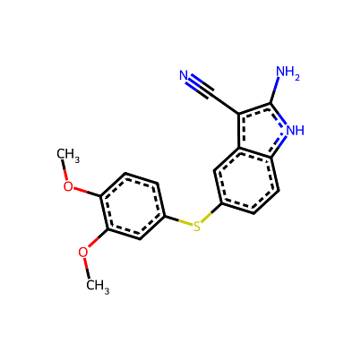 COc1ccc(Sc2ccc3[nH]c(N)c(C#N)c3c2)cc1OC